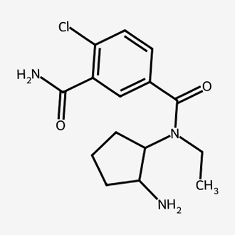 CCN(C(=O)c1ccc(Cl)c(C(N)=O)c1)C1CCCC1N